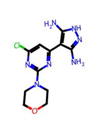 Nc1n[nH]c(N)c1-c1cc(Cl)nc(N2CCOCC2)n1